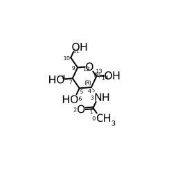 CC(=O)N[C@@H]1C(O)C(O)C(CO)O[C@H]1O